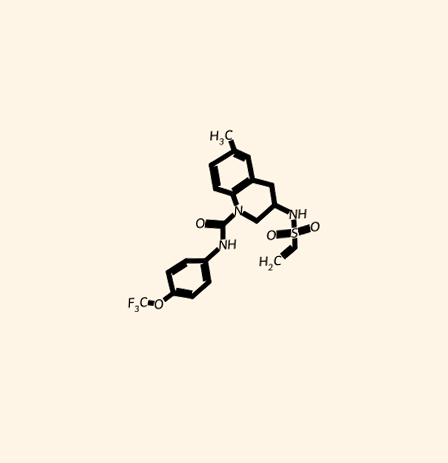 C=CS(=O)(=O)NC1Cc2cc(C)ccc2N(C(=O)Nc2ccc(OC(F)(F)F)cc2)C1